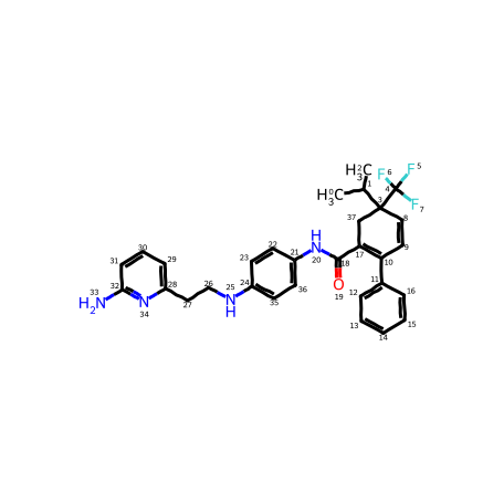 CC(C)C1(C(F)(F)F)C=CC(c2ccccc2)=C(C(=O)Nc2ccc(NCCc3cccc(N)n3)cc2)C1